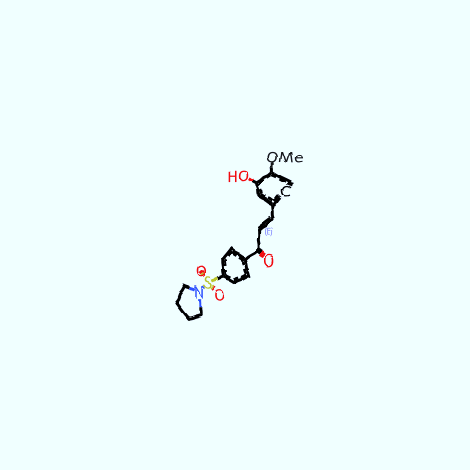 COc1ccc(/C=C/C(=O)c2ccc(S(=O)(=O)N3CCCC3)cc2)cc1O